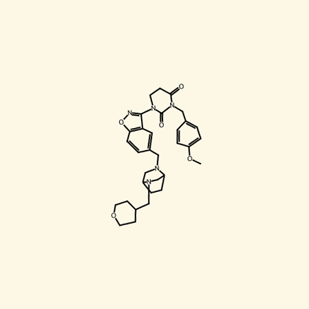 COc1ccc(CN2C(=O)CCN(c3noc4ccc(CN5CC6CCC5CN6CC5CCOCC5)cc34)C2=O)cc1